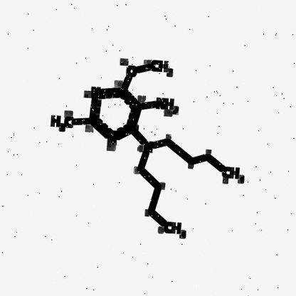 CCCCN(CCCC)c1nc(C)nc(OC)c1N